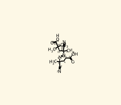 CC(C#N)(CCC(=O)O)N=NC(C)(C#N)CC(C)(C)C(=O)O